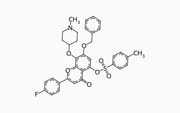 Cc1ccc(S(=O)(=O)Oc2cc(OCc3ccccc3)c(OC3CCN(C)CC3)c3oc(-c4ccc(F)cc4)cc(=O)c23)cc1